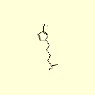 C[SiH](C)CCOCn1cc(N)nn1